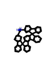 N#Cc1ccc2c(c1)C1(c3ccccc3-2)c2ccccc2-c2c1ccc1c2-c2ccccc2C12c1ccccc1-c1ccc(C#N)cc12